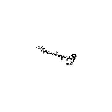 CNN(C)Cc1cc2ccccc2n1CCC(=O)NCCNCC(=O)NCCOCCOCCC(=O)N(C)C(C)C(=O)O